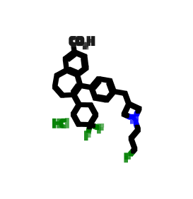 Cl.O=C(O)c1ccc2c(c1)CCCC(C1CCC(F)(F)CC1)=C2c1ccc(CC2CN(CCCF)C2)cc1